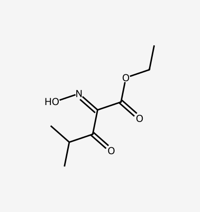 CCOC(=O)C(=NO)C(=O)C(C)C